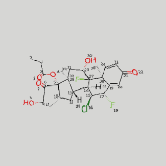 CCC(=O)O[C@@]1(C(=O)CO)[C@@H](C)C[C@H]2[C@@H]3[C@H](Cl)[C@@H](F)C4=CC(=O)C=C[C@]4(C)[C@@]3(F)[C@@H](O)C[C@@]21C